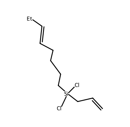 C=CC[Si](Cl)(Cl)CCCCC=CCC